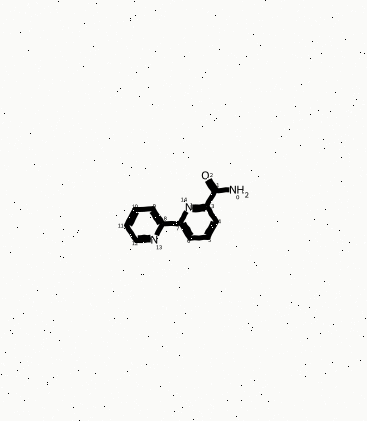 NC(=O)c1cccc(-c2ccccn2)n1